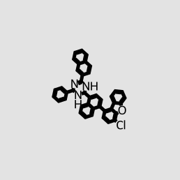 Clc1ccc(-c2ccc(C3NC(c4ccc5ccccc5c4)=NC(c4ccccc4)N3)c3ccccc23)c2c1oc1ccccc12